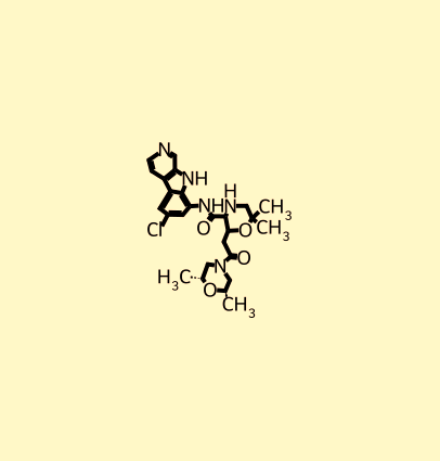 C[C@@H]1CN(C(=O)CC2OC(C)(C)CNC2C(=O)Nc2cc(Cl)cc3c2[nH]c2cnccc23)C[C@H](C)O1